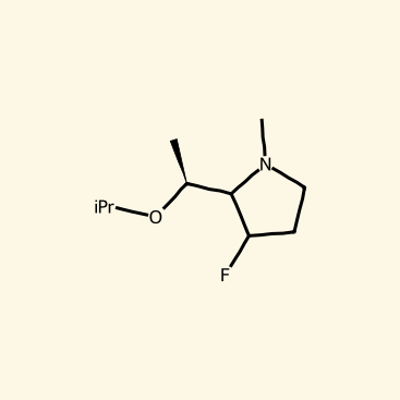 CC(C)O[C@@H](C)C1C(F)CCN1C